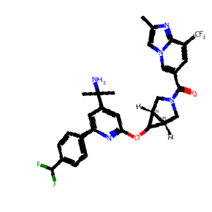 Cc1cn2cc(C(=O)N3C[C@@H]4C(Oc5cc(C(C)(C)N)cc(-c6ccc(C(F)F)cc6)n5)[C@@H]4C3)cc(C(F)(F)F)c2n1